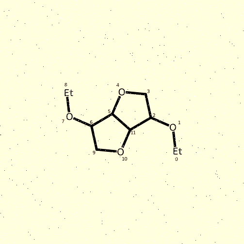 CCOC1COC2C(OCC)COC12